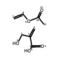 C=C(CO)C(=O)O.C=COC(C)=O